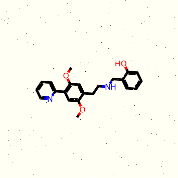 COc1cc(-c2ccccn2)c(OC)cc1CCNCc1ccccc1O